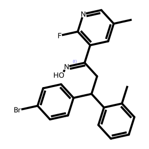 Cc1cnc(F)c(/C(CC(c2ccc(Br)cc2)c2ccccc2C)=N/O)c1